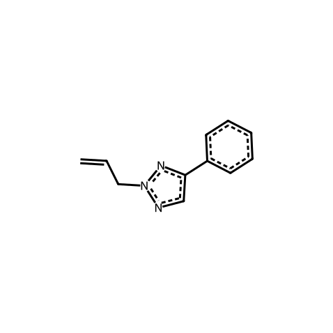 C=CCn1ncc(-c2ccccc2)n1